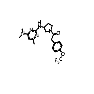 Cc1cc(N(C)C)nc(NC2CCN(C(=O)Cc3ccc(OC(F)(F)F)cc3)C2)n1